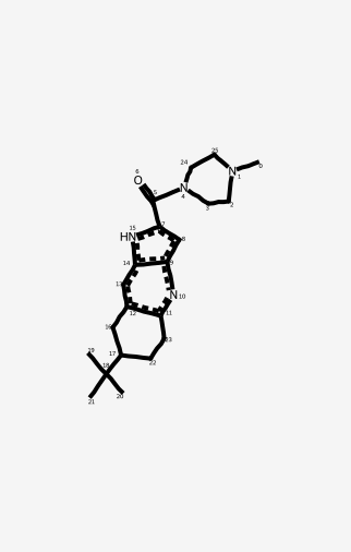 CN1CCN(C(=O)c2cc3nc4c(cc3[nH]2)CC(C(C)(C)C)CC4)CC1